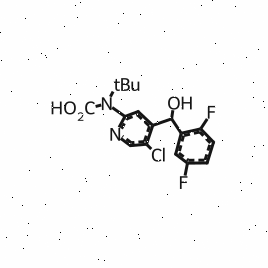 CC(C)(C)N(C(=O)O)c1cc(C(O)c2cc(F)ccc2F)c(Cl)cn1